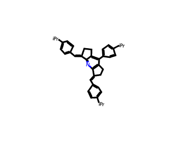 CC(C)c1ccc(C=C2CCc3c2nc2c(c3-c3ccc(C(C)C)cc3)CCC2=Cc2ccc(C(C)C)cc2)cc1